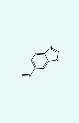 O=Nc1ccc2ncsc2c1